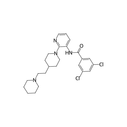 O=C(Nc1cccnc1N1CCC(CCN2CCCCC2)CC1)c1cc(Cl)cc(Cl)c1